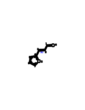 O=C/C=C/c1ccco1